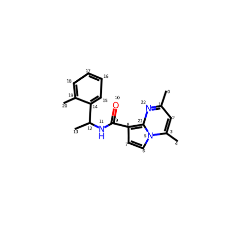 Cc1cc(C)n2ccc(C(=O)NC(C)c3ccccc3C)c2n1